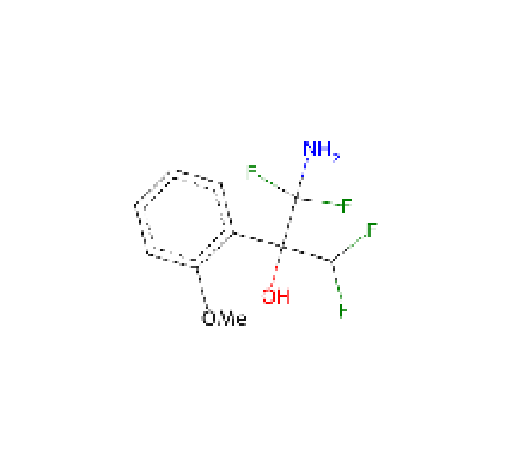 COc1ccccc1C(O)(C(F)F)C(N)(F)F